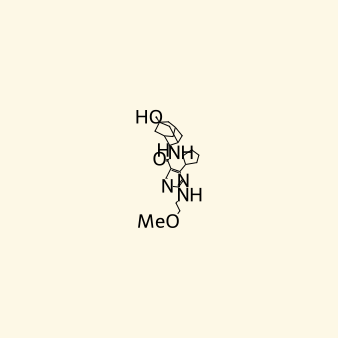 COCCNc1ncc(C(=O)N[C@H]2C3CC4CC2C[C@@](O)(C4)C3)c(C2CCCC2)n1